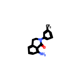 Nc1cccc2c1C(=O)N(c1cccc(C(F)(F)F)c1)CC2